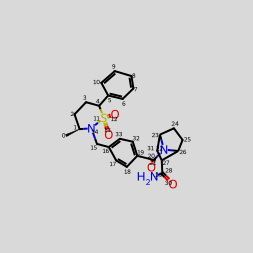 C[C@H]1CCC(c2ccccc2)S(=O)(=O)N1Cc1ccc(C(=O)N2C3CCC2C(C(N)=O)C3)cc1